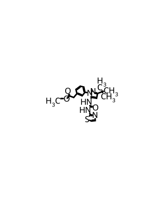 CCOC(=O)Cc1cccc(-n2nc(C(C)(C)C)cc2NC(=O)Nc2nccs2)c1